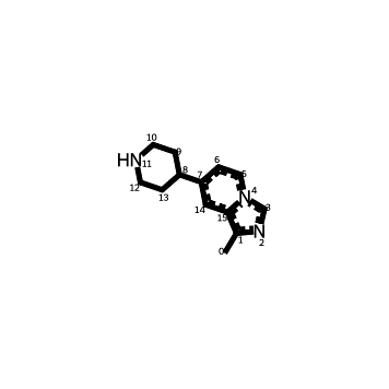 Cc1ncn2ccc(C3CCNCC3)cc12